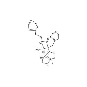 CCC(C)(O)C(Cc1ccccc1)(C(=O)C(=O)OCc1ccccc1)C1SC[C@H]2NCN[C@@H]12